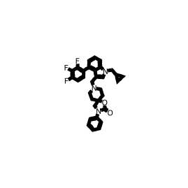 O=C1OC2(CCN(Cc3cn(CC4CC4)c4cccc(-c5ccc(F)c(F)c5F)c34)CC2)CN1c1ccccc1